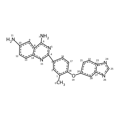 Cc1cc(-c2nc(N)c3cc(N)ccc3n2)ccc1Oc1ccn2ncnc2c1